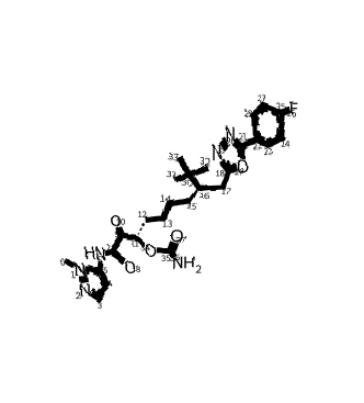 Cn1nccc1NC(=O)C(=O)[C@H](CCCC[C@H](Cc1nnc(-c2ccc(F)cc2)o1)C(C)(C)C)OC(N)=O